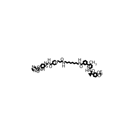 Cc1ccc(NC(=O)C2(c3ccc4c(c3)OC(F)(F)O4)CC2)nc1-c1cccc(C(=O)NCCCCCCCCNC(=O)CCN2CCC(C(=O)Nc3nc4ccc(NS(=O)(=O)c5cnccn5)cc4s3)CC2)c1